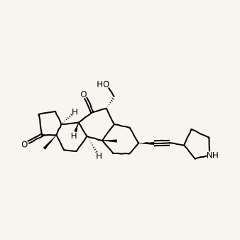 C[C@]12CC[C@H](C#CC3CCNC3)CC1[C@@H](CO)C(=O)[C@@H]1[C@@H]2CC[C@]2(C)C(=O)CC[C@@H]12